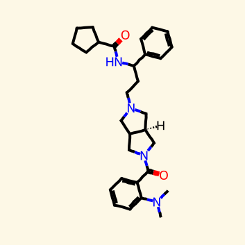 CN(C)c1ccccc1C(=O)N1CC2CN(CCC(NC(=O)C3CCCC3)c3ccccc3)C[C@H]2C1